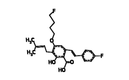 CC(C)=CCc1c(OCCCCF)cc(C=Cc2ccc(F)cc2)c(C(=O)O)c1O